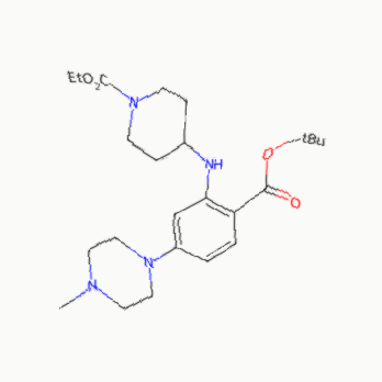 CCOC(=O)N1CCC(Nc2cc(N3CCN(C)CC3)ccc2C(=O)OC(C)(C)C)CC1